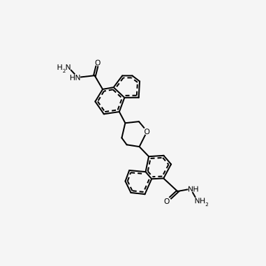 NNC(=O)c1ccc(C2CCC(c3ccc(C(=O)NN)c4ccccc34)OC2)c2ccccc12